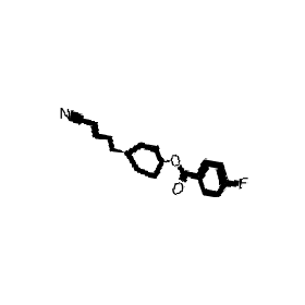 N#C/C=C/CC[C@H]1CC[C@H](OC(=O)c2ccc(F)cc2)CC1